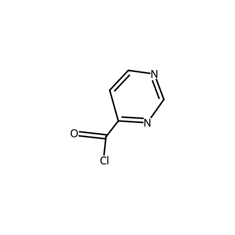 O=C(Cl)c1ccncn1